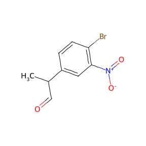 CC(C=O)c1ccc(Br)c([N+](=O)[O-])c1